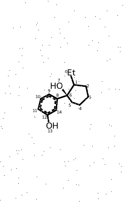 CCC1CCCC[C@]1(O)c1cccc(O)c1